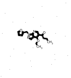 CCCC(=O)c1cnc2c(cnn2Cc2ccco2)c1OCC